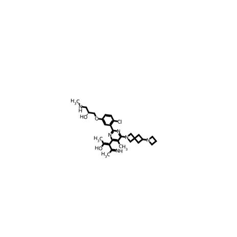 CNC[C@@H](O)COc1ccc(Cl)c(-c2nc(/C(C(C)=N)=C(\C)O)c(C)c(N3CC4(CC(N5CCC5)C4)C3)n2)c1